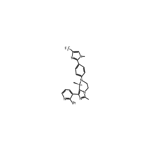 Cc1nc(-c2cccnc2C(C)C)c2n1CCN(c1ccc(-c3nc(C(F)(F)F)cn3C)cc1)[C@@H]2C